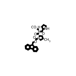 C[C@H]1C[C@@H](C(=O)N(CC(=O)O)C(=O)C2CCCN2)N(C(=O)OCC2c3ccccc3-c3ccccc32)C1